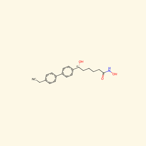 N#CCc1ccc(-c2ccc([C@H](O)CCCCC(=O)NO)cc2)cc1